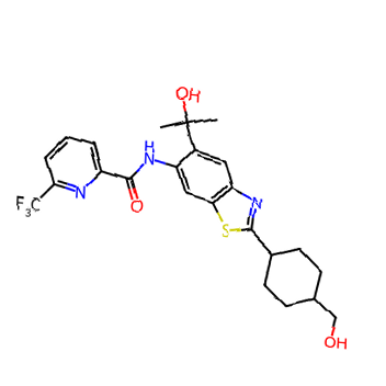 CC(C)(O)c1cc2nc(C3CCC(CO)CC3)sc2cc1NC(=O)c1cccc(C(F)(F)F)n1